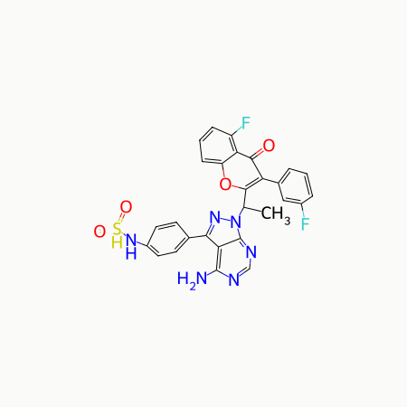 CC(c1oc2cccc(F)c2c(=O)c1-c1cccc(F)c1)n1nc(-c2ccc(N[SH](=O)=O)cc2)c2c(N)ncnc21